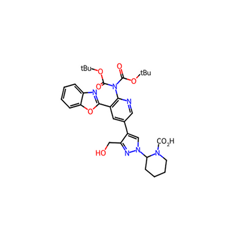 CC(C)(C)OC(=O)N(C(=O)OC(C)(C)C)c1ncc(-c2cn(C3CCCCN3C(=O)O)nc2CO)cc1-c1nc2ccccc2o1